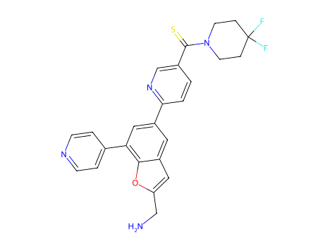 NCc1cc2cc(-c3ccc(C(=S)N4CCC(F)(F)CC4)cn3)cc(-c3ccncc3)c2o1